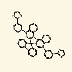 c1cc(-c2ncco2)cc(-c2cc3c(c4ccccc24)-c2c(cc(-c4cccc(-c5ncco5)c4)c4ccccc24)C32c3ccccc3-c3ccccc32)c1